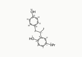 CCCc1ccc(O)c(C(C)Cc2ccc(O)cc2)c1